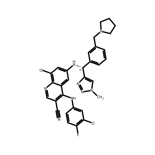 Cn1cc([C@H](Nc2cc(Cl)c3ncc(C#N)c(Nc4ccc(F)c(Cl)c4)c3c2)c2cccc(CN3CCCC3)c2)nn1